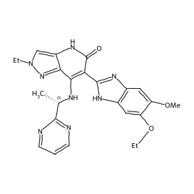 CCOc1cc2[nH]c(-c3c(N[C@@H](C)c4ncccn4)c4nn(CC)cc4[nH]c3=O)nc2cc1OC